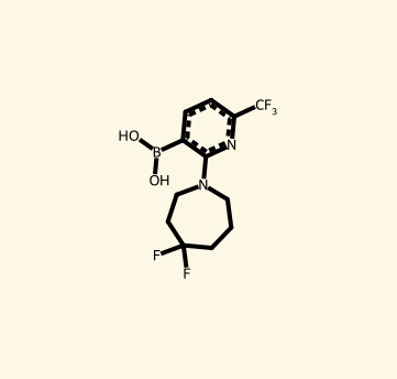 OB(O)c1ccc(C(F)(F)F)nc1N1CCCC(F)(F)CC1